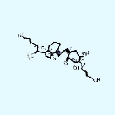 CC(CCCCO)C1CC[C@H]2/C(=C/C=C3/C[C@@H](O)C(OCCCO)[C@H](O)C3=O)CCC[C@]12C